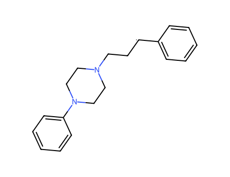 [CH](CCN1CCN(c2ccccc2)CC1)c1ccccc1